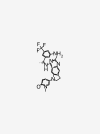 Cc1nc(N[C@H](C)c2cc(N)cc(C(F)(F)F)c2)c2cc3c(cc2n1)CCN3c1ccc(=O)n(C)c1